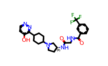 O=C(CNC(=O)c1cccc(C(F)(F)F)c1)N[C@@H]1CCN(C2CCC(c3nnccc3O)CC2)C1